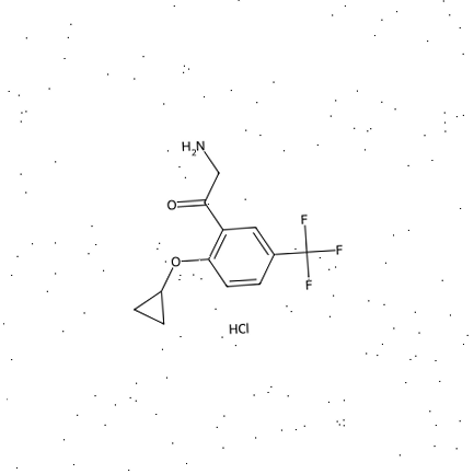 Cl.NCC(=O)c1cc(C(F)(F)F)ccc1OC1CC1